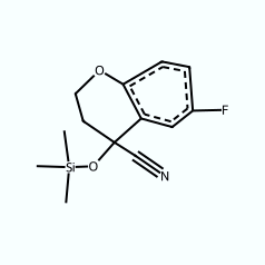 C[Si](C)(C)OC1(C#N)CCOc2ccc(F)cc21